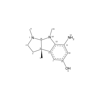 CN1CC[C@@]2(C)c3cc(O)cc(N)c3N(C)C12